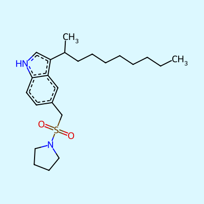 CCCCCCCCC(C)c1c[nH]c2ccc(CS(=O)(=O)N3CCCC3)cc12